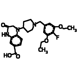 CCOc1cc(CN2CCC(N3CC(=O)Nc4cc(C(=O)O)ccc43)CC2)cc(OCC)c1F